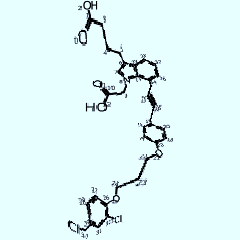 O=C(O)CCCc1cn(CC(=O)O)c2c(C=Cc3ccc(OCCCOc4ccc(Cl)cc4Cl)cc3)cccc12